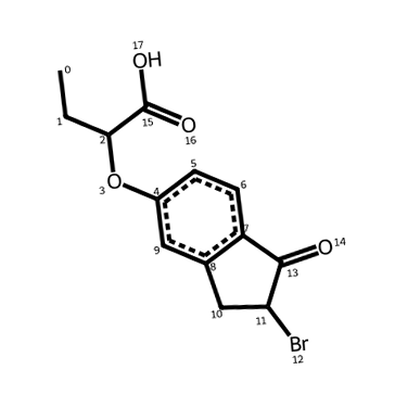 CCC(Oc1ccc2c(c1)CC(Br)C2=O)C(=O)O